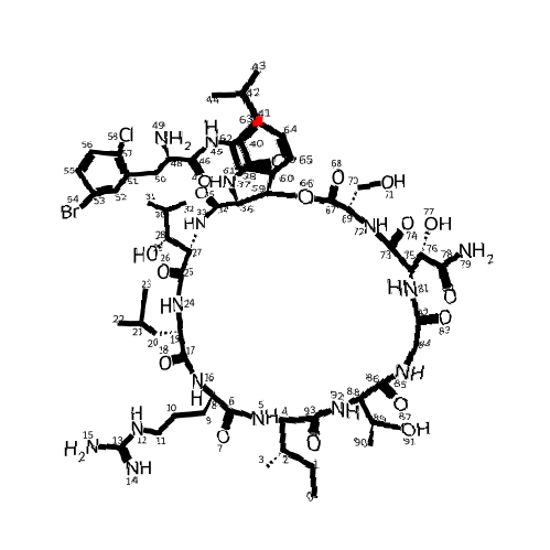 CC[C@H](C)C1NC(=O)[C@@H](CCCNC(=N)N)NC(=O)[C@H](CC(C)C)NC(=O)[C@H]([C@H](O)C(C)C)NC(=O)[C@@H](NC(=O)[C@H](CC(C)C)NC(=O)[C@H](N)Cc2cc(Br)ccc2Cl)[C@@H](c2ccccc2)OC(=O)[C@H](CO)NC(=O)[C@H]([C@H](O)C(N)=O)NC(=O)CNC(=O)C([C@H](C)O)NC1=O